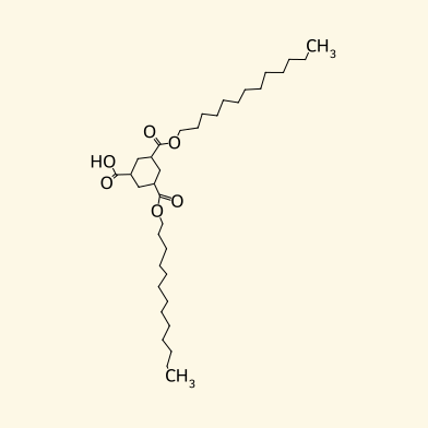 CCCCCCCCCCCCCOC(=O)C1CC(C(=O)O)CC(C(=O)OCCCCCCCCCCCCC)C1